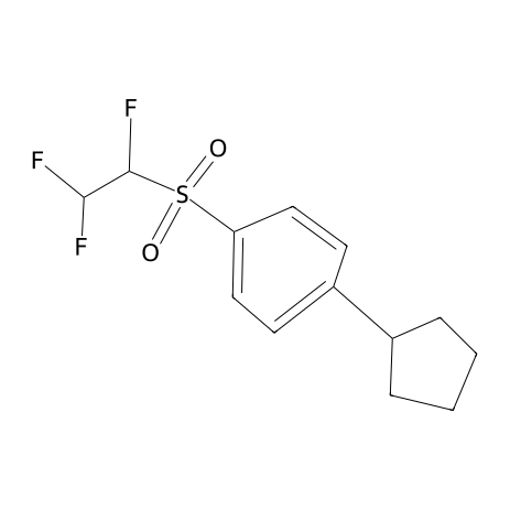 O=S(=O)(c1ccc(C2CCCC2)cc1)C(F)C(F)F